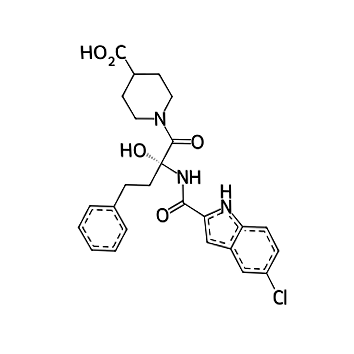 O=C(N[C@@](O)(CCc1ccccc1)C(=O)N1CCC(C(=O)O)CC1)c1cc2cc(Cl)ccc2[nH]1